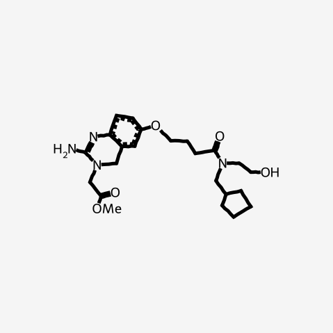 COC(=O)CN1Cc2cc(OCCCC(=O)N(CCO)CC3CCCC3)ccc2N=C1N